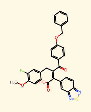 COc1ccc(C/C(C(=O)c2ccc(OCc3ccccc3)cc2)=C(\C(=O)O)c2ccc3nsnc3c2)cc1F